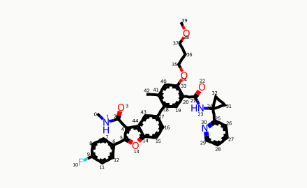 CNC(=O)c1c(-c2ccc(F)cc2)oc2ccc(-c3cc(C(=O)NC4(c5ccccn5)CC4)c(OCCCOC)cc3C)cc12